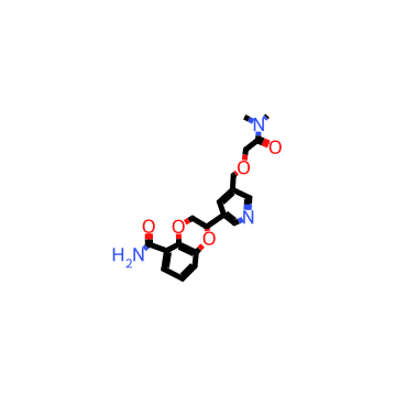 CN(C)C(=O)COCc1cncc(C2COc3c(cccc3C(N)=O)O2)c1